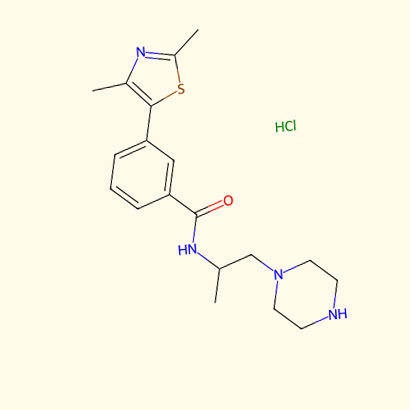 Cc1nc(C)c(-c2cccc(C(=O)NC(C)CN3CCNCC3)c2)s1.Cl